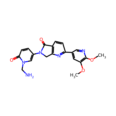 COc1cc(-c2ccc3c(n2)CN(c2ccc(=O)n(CN)c2)C3=O)cnc1OC